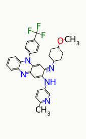 COC1CCC(/N=c2\cc3n(-c4ccc(C(F)(F)F)cc4)c4ccccc4nc-3cc2Nc2ccc(C)nc2)CC1